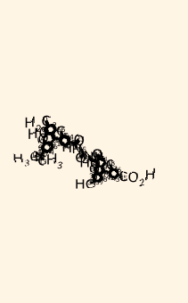 C=c1ccc2c(c1)Oc1cc(N(C)C)ccc1C=2c1ccc(C(=O)NCC(=O)NCc2c3oc4cc(O)ccc4c(-c4ccc(C(=O)O)cc4C(=O)O)c-3ccc2=O)cc1C(=O)O